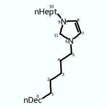 CCCCCCCCCCCCCCCN1C=CN(CCCCCCC)C1